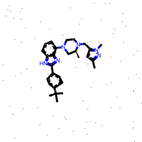 Cc1cc(CN2CCN(c3cccc4[nH]c(-c5ccc(C(C)(C)C)cc5)nc34)C[C@@H]2C)n(C)n1